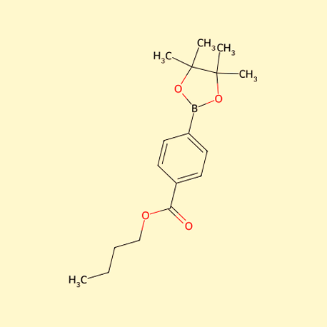 CCCCOC(=O)c1ccc(B2OC(C)(C)C(C)(C)O2)cc1